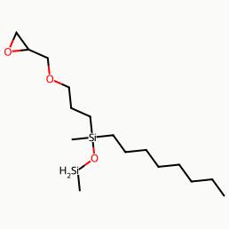 CCCCCCCC[Si](C)(CCCOCC1CO1)O[SiH2]C